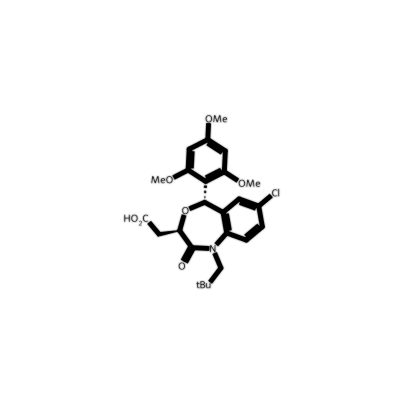 COc1cc(OC)c([C@H]2O[C@H](CC(=O)O)C(=O)N(CC(C)(C)C)c3ccc(Cl)cc32)c(OC)c1